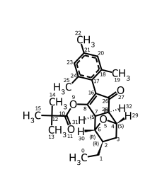 CC[C@@H]1C[C@@H]2O[C@H]1[C@H]1C(OC(=O)C(C)(C)C)=C(c3c(C)cc(C)cc3C)C(=O)[C@H]12